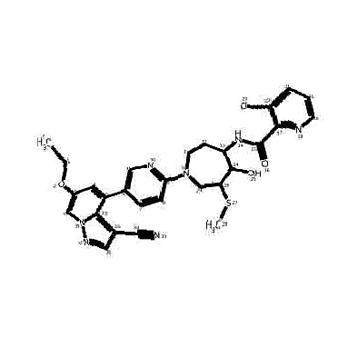 CCOc1cc(-c2ccc(N3CCC(NC(=O)c4ncccc4Cl)C(O)C(SC)C3)nc2)c2c(C#N)cnn2c1